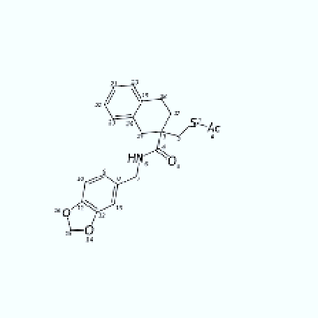 CC(=O)SCC1(C(=O)NCc2ccc3c(c2)OCO3)CCc2ccccc2C1